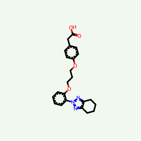 O=C(O)Cc1ccc(OCCCOc2ccccc2-n2nc3c(n2)CCCC3)cc1